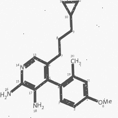 COc1ccc(-c2c(CCCC3CC3)cnc(N)c2N)c(C)c1